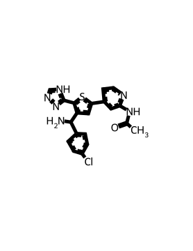 CC(=O)Nc1cc(-c2cc(C(N)c3ccc(Cl)cc3)c(-c3nnc[nH]3)s2)ccn1